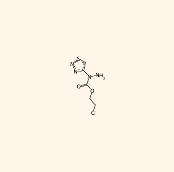 NN(C(=O)OCCCl)c1csnn1